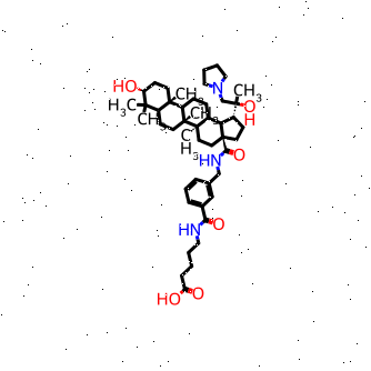 CC(O)(CN1CCCC1)[C@@H]1CC[C@]2(C(=O)NCc3cccc(C(=O)NCCCCC(=O)O)c3)CC[C@]3(C)C(CCC4[C@@]5(C)CC[C@H](O)C(C)(C)C5CC[C@]43C)C12